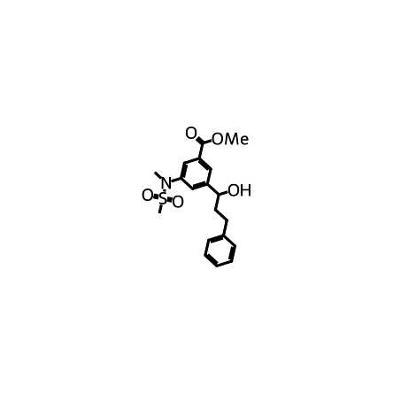 COC(=O)c1cc(C(O)CCc2ccccc2)cc(N(C)S(C)(=O)=O)c1